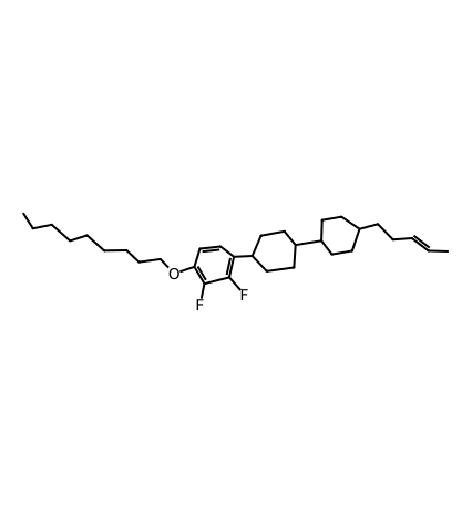 C/C=C/CCC1CCC(C2CCC(c3ccc(OCCCCCCCCC)c(F)c3F)CC2)CC1